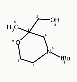 CC1(CO)CN(C(C)(C)C)CCO1